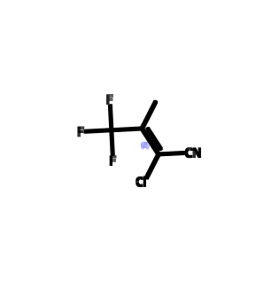 C/C(=C(/Cl)C#N)C(F)(F)F